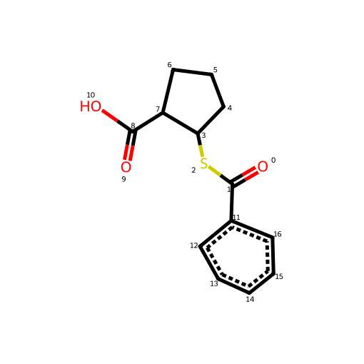 O=C(SC1CCCC1C(=O)O)c1ccccc1